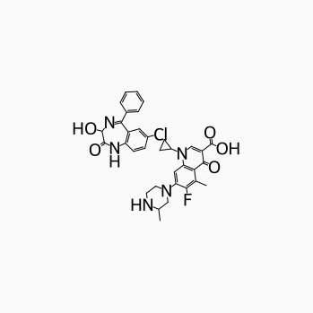 Cc1c(F)c(N2CCNC(C)C2)cc2c1c(=O)c(C(=O)O)cn2C1CC1.O=C1Nc2ccc(Cl)cc2C(c2ccccc2)=NC1O